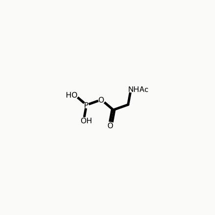 CC(=O)NCC(=O)OP(O)O